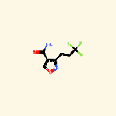 NC(=O)c1conc1CCC(F)(F)F